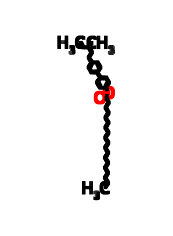 CCCCCCCCCCCCCCCCCCC(=O)Oc1ccc(-c2ccc(CCC(C)CC)cc2)cc1